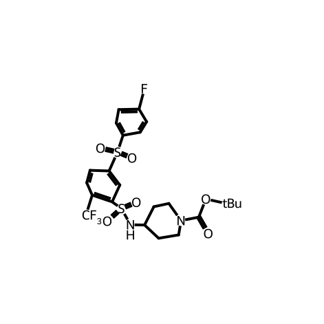 CC(C)(C)OC(=O)N1CCC(NS(=O)(=O)c2cc(S(=O)(=O)c3ccc(F)cc3)ccc2C(F)(F)F)CC1